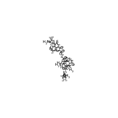 C=C[C@@]1(C)C[C@H](OC(=O)CSC2CC3CCC(C2)N3C)[C@@]2(C)C(C)CCC3(CCC(=O)C32)[C@H](C)[C@@H]1OC(=O)CCOC(=O)c1cn(C2C[C@@H]2F)c2c(Cl)c(N3C[C@@H](N)C4(CC4)C3)c(F)cc2c1=O